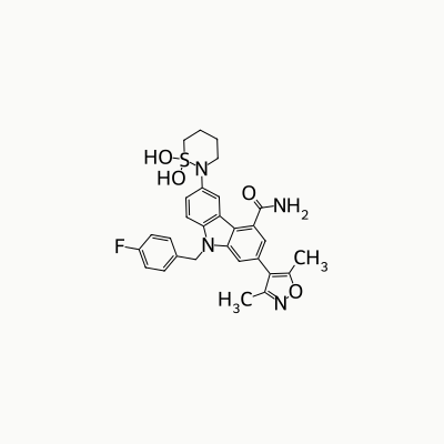 Cc1noc(C)c1-c1cc(C(N)=O)c2c3cc(N4CCCCS4(O)O)ccc3n(Cc3ccc(F)cc3)c2c1